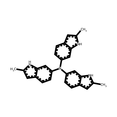 Cc1cc2cc[c]([Bi]([c]3ccc4cc(C)[nH]c4c3)[c]3ccc4cc(C)[nH]c4c3)cc2[nH]1